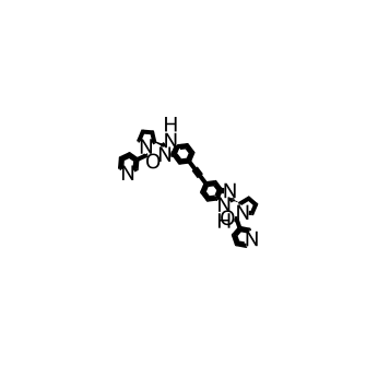 O=C(c1cccnc1)N1CCC[C@H]1c1nc2cc(C#Cc3ccc4[nH]c([C@@H]5CCCN5C(=O)c5cccnc5)nc4c3)ccc2[nH]1